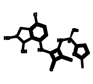 Cc1ccc([C@H](Nc2c(Nc3ccc(Cl)c4c3C(O)N(O)C4)c(=O)c2=O)C(C)(C)C)o1